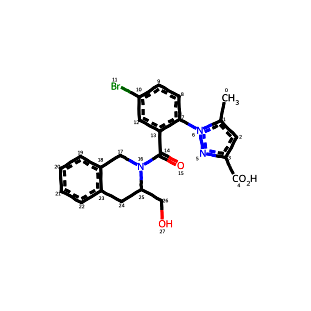 Cc1cc(C(=O)O)nn1-c1ccc(Br)cc1C(=O)N1Cc2ccccc2CC1CO